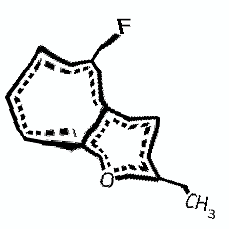 Cc1cc2c(F)cccc2o1